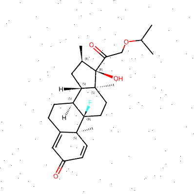 CC(C)OCC(=O)[C@@]1(O)[C@H](C)C[C@H]2[C@@H]3CCC4=CC(=O)C=C[C@]4(C)[C@@]3(F)CC[C@@]21C